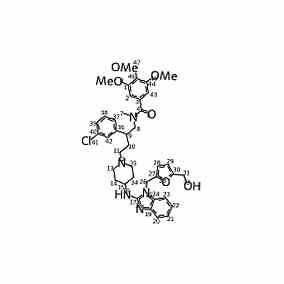 COc1cc(C(=O)N(C)CC(CCN2CCC(Nc3nc4ccccc4n3Cc3ccc(CO)o3)CC2)c2cccc(Cl)c2)cc(OC)c1OC